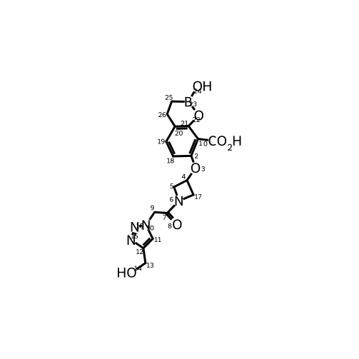 O=C(O)c1c(OC2CN(C(=O)Cn3cc(CO)nn3)C2)ccc2c1OB(O)CC2